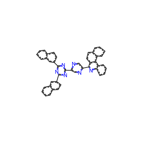 c1ccc2cc(-c3nc(-c4ccc5ccccc5c4)nc(-c4cnc(-c5nc6ccccc6c6c5ccc5ccccc56)cn4)n3)ccc2c1